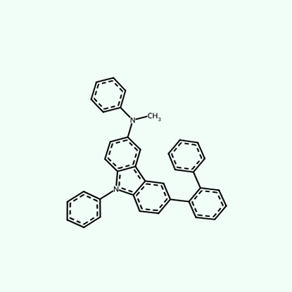 CN(c1ccccc1)c1ccc2c(c1)c1cc(-c3ccccc3-c3ccccc3)ccc1n2-c1ccccc1